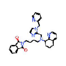 O=C1c2ccccc2C(=O)N1CCCCN(Cc1nccn1Cc1ccccn1)C1CCCc2cccnc21